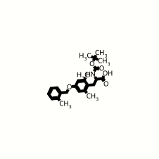 Cc1ccccc1COc1cc(C)c(CC(NC(=O)OC(C)(C)C)C(=O)O)c(C)c1